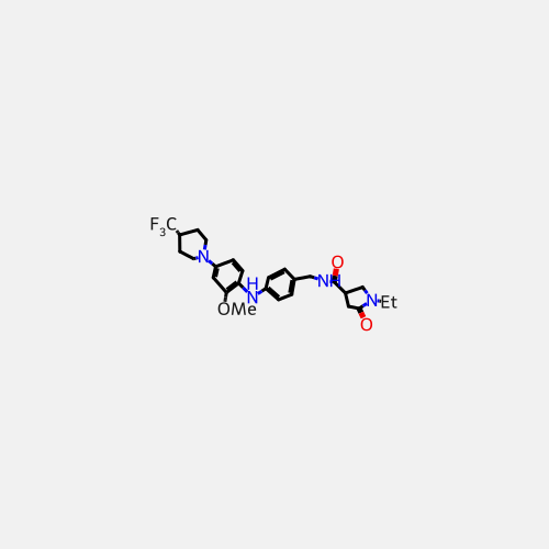 CCN1CC(C(=O)NCc2ccc(Nc3ccc(N4CCC(C(F)(F)F)CC4)cc3OC)cc2)CC1=O